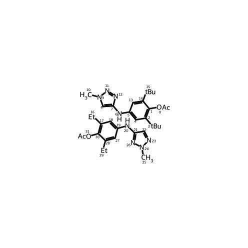 CC(=O)Oc1c(C(C)(C)C)cc(Nc2cn(C)nn2)cc1C(C)(C)C.CCc1cc(Nc2cnn(C)n2)cc(CC)c1OC(C)=O